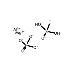 O=P([O-])([O-])[O-].[Al+3].[Mg+2].[O-][Si]([O-])(O)O